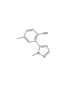 Cc1ccc(O)c(-c2ccnn2C)c1